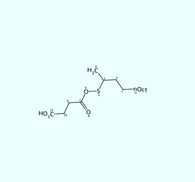 CCCCCCCCCCC(C)SOC(=O)CCC(=O)O